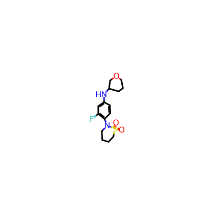 O=S1(=O)CCCCN1c1ccc(NC2CCCOC2)cc1F